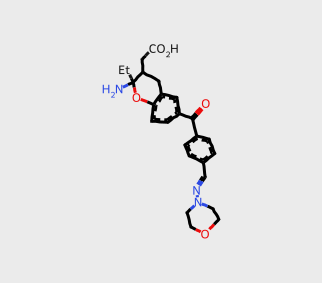 CCC1(N)Oc2ccc(C(=O)c3ccc(C=NN4CCOCC4)cc3)cc2CC1CC(=O)O